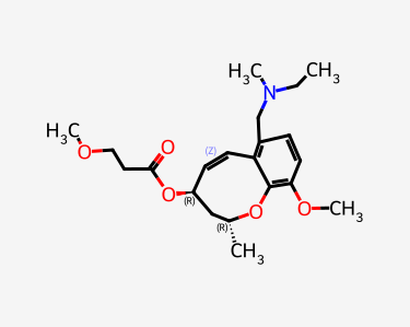 CCN(C)Cc1ccc(OC)c2c1/C=C\[C@H](OC(=O)CCOC)C[C@@H](C)O2